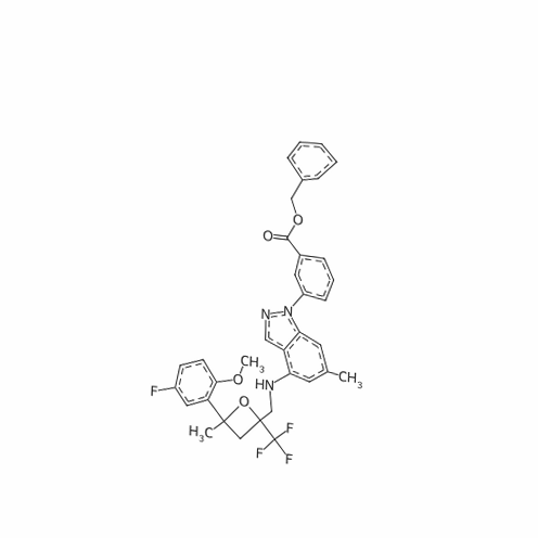 COc1ccc(F)cc1C1(C)CC(CNc2cc(C)cc3c2cnn3-c2cccc(C(=O)OCc3ccccc3)c2)(C(F)(F)F)O1